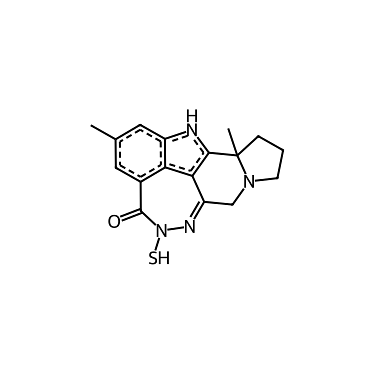 Cc1cc2c3c4c([nH]c3c1)C1(C)CCCN1CC4=NN(S)C2=O